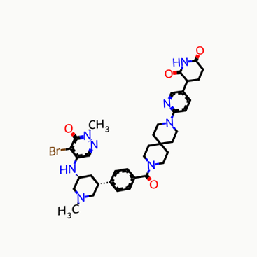 CN1C[C@H](Nc2cnn(C)c(=O)c2Br)C[C@H](c2ccc(C(=O)N3CCC4(CC3)CCN(c3ccc(C5CCC(=O)NC5=O)cn3)CC4)cc2)C1